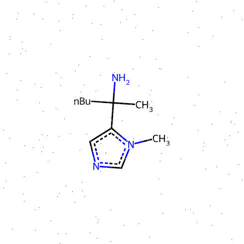 CCCCC(C)(N)c1cncn1C